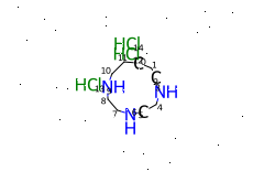 C1CCNCCNCCNCC1.Cl.Cl.Cl